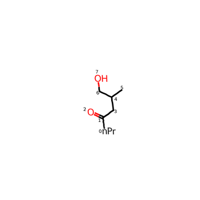 CCCC(=O)CC(C)CO